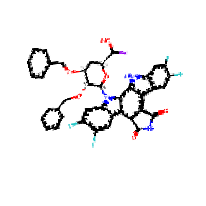 O=C1NC(=O)c2c1c1c3cc(F)c(F)cc3[nH]c1c1c2c2cc(F)c(F)cc2n1[C@@H]1O[C@H](C(O)I)C[C@H](OCc2ccccc2)[C@H]1OCc1ccccc1